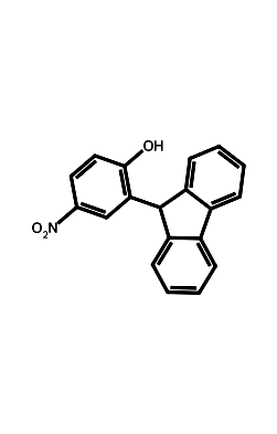 O=[N+]([O-])c1ccc(O)c(C2c3ccccc3-c3ccccc32)c1